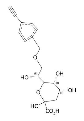 C#Cc1ccc(COC[C@@H](O)C2OC(O)(C(=O)O)C[C@@H](O)[C@H]2O)cc1